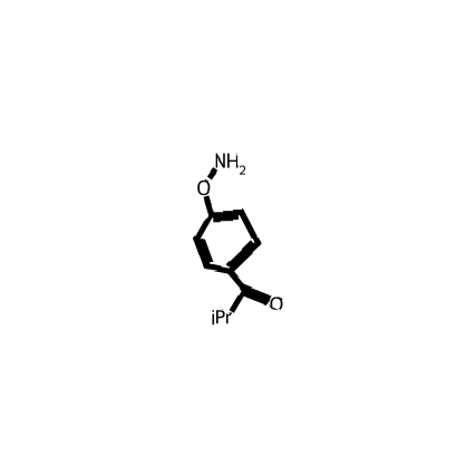 CC(C)C(=O)c1ccc(ON)cc1